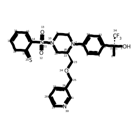 C[C@](O)(c1ccc(N2CCN(S(=O)(=O)C3=CC=CCC3=S)C[C@@H]2COCc2cccnc2)cc1)C(F)(F)F